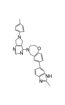 Cc1ccc(N2Cc3ncnc(N4CCOc5ccc(-c6ccc7nc(C)[nH]c7c6)cc5C4)c3C2)cc1